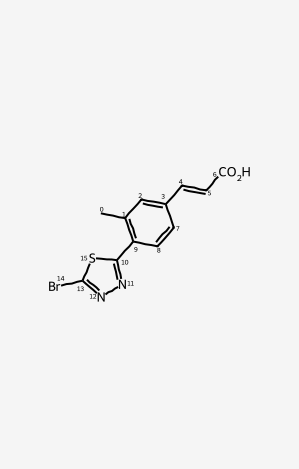 Cc1cc(C=CC(=O)O)ccc1-c1nnc(Br)s1